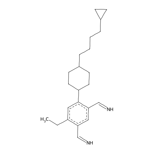 CCc1cc(C2CCC(CCCCC3CC3)CC2)c(C=N)cc1C=N